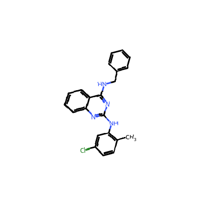 Cc1ccc(Cl)cc1Nc1nc(NCc2ccccc2)c2ccccc2n1